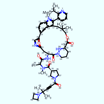 CCn1c(-c2cccnc2[C@H](C)OC)c2c3cc(ccc31)-c1cnc(o1)C[C@H](NC(=O)C(C(C)C)N(C)C(=O)[C@H]1CCN(C(=O)C#CC(C)(C)N3CCC3)C1)C(=O)N1CCC[C@H](N1)C(=O)OCC(C)(C)C2